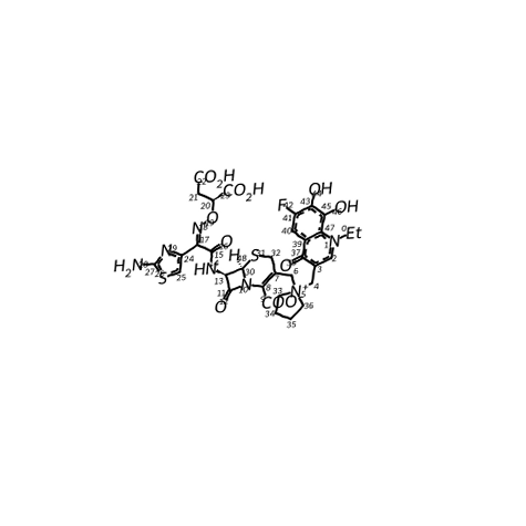 CCn1cc(C[N+]2(CC3=C(C(=O)[O-])N4C(=O)[C@@H](NC(=O)/C(=N\O[C@@H](CC(=O)O)C(=O)O)c5csc(N)n5)[C@H]4SC3)CCCC2)c(=O)c2cc(F)c(O)c(O)c21